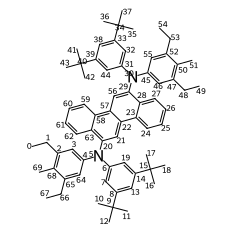 CCc1cc(N(c2cc(C(C)(C)C)cc(C(C)(C)C)c2)c2cc3c4ccccc4c(N(c4cc(C(C)(C)C)cc(C(C)(C)C)c4)c4cc(CC)c(C)c(CC)c4)cc3c3ccccc23)cc(CC)c1C